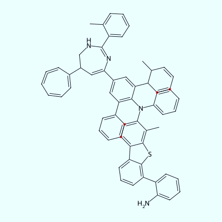 Cc1ccccc1C1=NC(c2cc(-c3ccccc3)c(N(c3ccccc3)c3ccc4c(sc5c(-c6ccccc6N)cccc54)c3C)c(C3C=CC=CC3C)c2)=CC(C2=CC=CC=C=C2)CN1